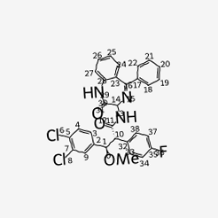 CO[C@@H](c1ccc(Cl)c(Cl)c1)[C@H](C(=O)NC1N=C(c2ccccc2)c2ccccc2NC1=O)c1ccc(F)cc1